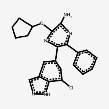 Nc1nc(-c2ccccc2)c(-c2cc(Cl)c3[nH]ncc3c2)nc1OC1CCCC1